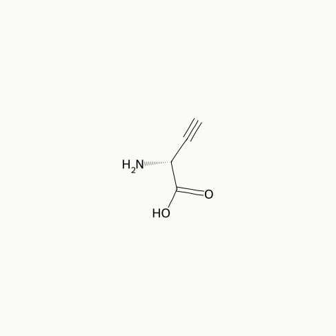 C#C[C@@H](N)C(=O)O